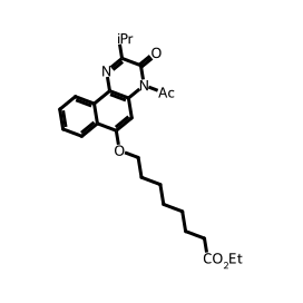 CCOC(=O)CCCCCCCOc1cc2c(nc(C(C)C)c(=O)n2C(C)=O)c2ccccc12